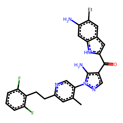 CCc1cc2cc(C(=O)c3cnn(-c4cnc(CCc5c(F)cccc5F)cc4C)c3N)[nH]c2cc1N